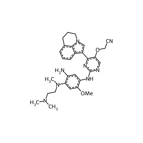 COc1cc(N(C)CCN(C)C)c(N)cc1Nc1ncc(OCC#N)c(-c2cn3c4c(cccc24)CCC3)n1